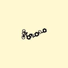 C=C1C(=O)SC(=O)N1c1cccc2c1ccn2Cc1ccc(OCc2ccccc2)cc1